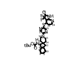 CC(C)(C)OC(=O)N[C@@H]1c2ccccc2CC12CCN(c1ncc(Sc3ccnc4c3C(F)(F)C(=O)N4)nn1)CC2